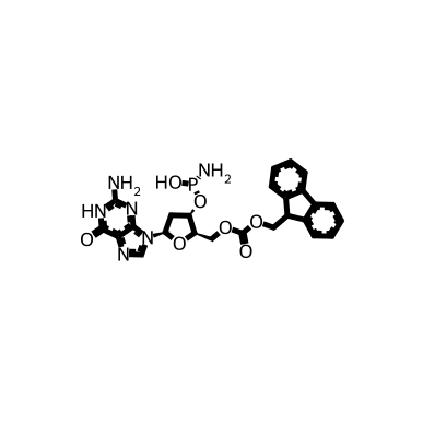 Nc1nc2c(ncn2[C@H]2C[C@H](OP(N)O)[C@@H](COC(=O)OCC3c4ccccc4-c4ccccc43)O2)c(=O)[nH]1